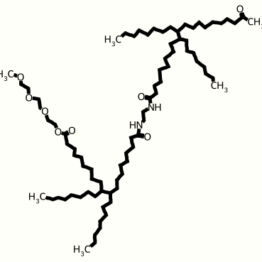 CCCCCCCCC(CCCCCCCCC(C)=O)C(CCCCCCCC)CCCCCCCCC(=O)NCCNC(=O)CCCCCCCCC(CCCCCCCC)C(CCCCCCCC)CCCCCCCCC(=O)OCCOCCOCCOC